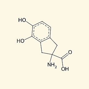 NC1(C(=O)O)Cc2ccc(O)c(O)c2C1